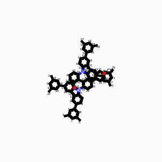 Cc1cc(C)cc(-c2ccc3c(c2)c2cc(-c4cc(C)cc(C)c4)ccc2n3-c2ccc(-c3ccc(C#N)cc3C(F)(F)F)cc2-c2c(C#N)cccc2-n2c3ccc(-c4cc(C)cc(C)c4)cc3c3cc(-c4cc(C)cc(C)c4)ccc32)c1